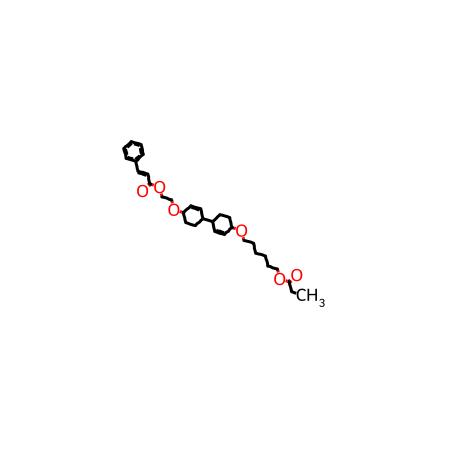 CCC(=O)OCCCCCCOC1C=CC(C2C=CC(OCCOC(=O)/C=C/c3ccccc3)CC2)CC1